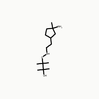 CC1(N)CCC(CCNOC(C)(C)C(C)(C)O)C1